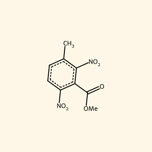 COC(=O)c1c([N+](=O)[O-])ccc(C)c1[N+](=O)[O-]